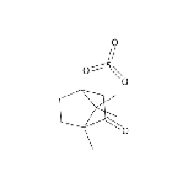 CC12CCC(CC1=O)C2(C)C.O=S(=O)=O